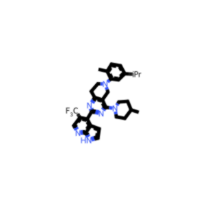 Cc1ccc(C(C)C)cc1N1CCc2nc(-c3c(C(F)(F)F)cnc4[nH]ccc34)nc(N3CCC(C)CC3)c2C1